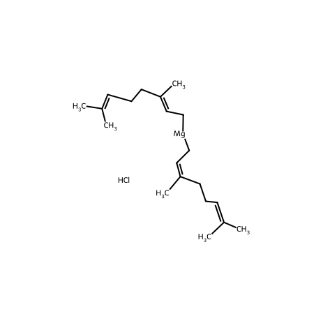 CC(C)=CCCC(C)=C[CH2][Mg][CH2]C=C(C)CCC=C(C)C.Cl